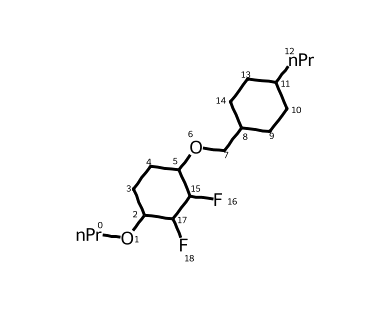 CCCOC1CCC(OCC2CCC(CCC)CC2)C(F)C1F